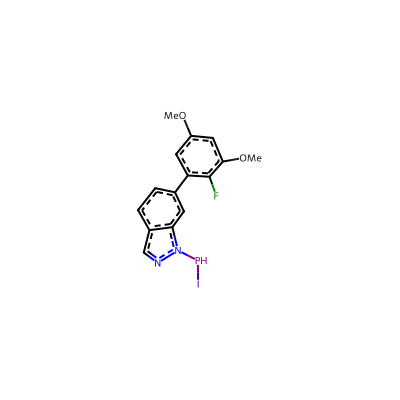 COc1cc(OC)c(F)c(-c2ccc3cnn(PI)c3c2)c1